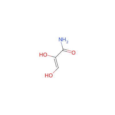 NC(=O)C(O)=CO